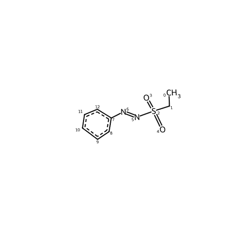 CCS(=O)(=O)N=Nc1ccccc1